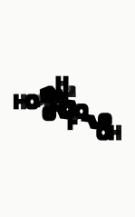 Nc1cc(OCCCC(=O)O)c(F)cc1C(=O)N1CCC[C@H]1CO